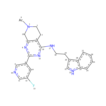 CC(=O)N1CCc2c(nc(-c3cncc(F)c3)nc2NCCc2c[nH]c3ccccc23)C1